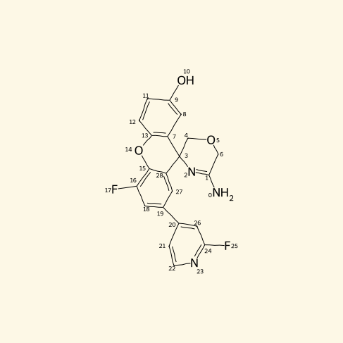 NC1=NC2(COC1)c1cc(O)ccc1Oc1c(F)cc(-c3ccnc(F)c3)cc12